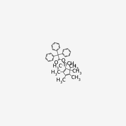 CC1=C(C)C(C)(C)[C]([Ti]([CH3])([CH3])[O]C(=O)C(c2ccccc2)(c2ccccc2)c2ccccc2)=C1C